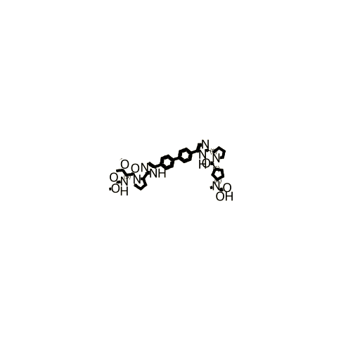 COC(=O)N[C@H](C(=O)N1CCCC1c1ncc(-c2ccc(-c3ccc(-c4cnc([C@@H]5CCCN5C(=O)[C@H]5CC[C@@H](N(C)C(=O)O)C5)[nH]4)cc3)cc2)[nH]1)C(C)OC